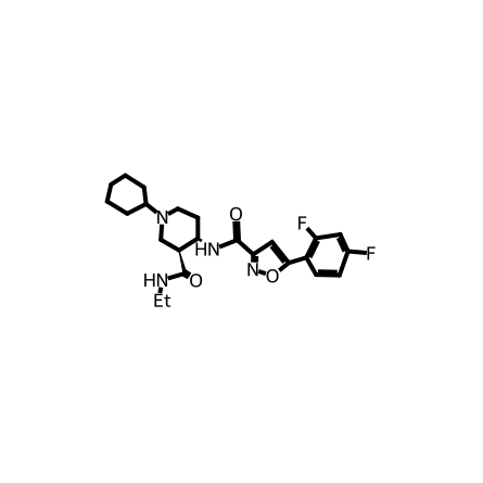 CCNC(=O)[C@H]1CN(C2CCCCC2)CC[C@@H]1NC(=O)c1cc(-c2ccc(F)cc2F)on1